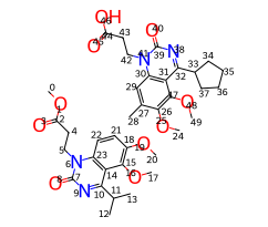 COC(=O)CCn1c(=O)nc(C(C)C)c2c(OC)c(OC)ccc21.COc1c(C)cc2c(c(C3CCCC3)nc(=O)n2CCC(=O)O)c1OC